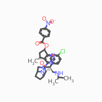 CC(C)NC[C@@H](C(=O)N1C2CCC1CN(c1ncnc3c1[C@H](C)CC3OC(=O)c1ccc([N+](=O)[O-])cc1)C2)c1ccc(Cl)cc1